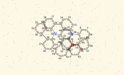 c1ccc(-c2ccccc2N(c2cccc(-c3ccccc3N(c3ccccc3-c3ccccc3)c3cccc4oc5ccccc5c34)c2)c2ccccc2-c2ccccc2)cc1